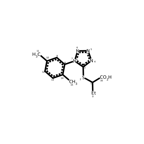 CCC(Sc1nnnn1-c1cc(C)ccc1C)C(=O)O